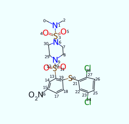 CN(C)S(=O)(=O)N1CCN(S(=O)(=O)c2cc([N+](=O)[O-])ccc2Sc2cc(Cl)ccc2Cl)CC1